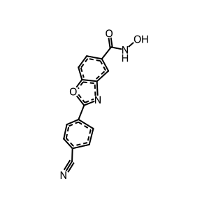 N#Cc1ccc(-c2nc3cc(C(=O)NO)ccc3o2)cc1